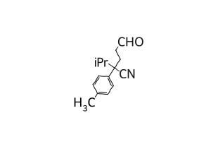 Cc1ccc(C(C#N)(CCC=O)C(C)C)cc1